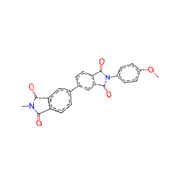 COc1ccc(N2C(=O)c3ccc(-c4ccc5c(c4)C(=O)N(C)C5=O)cc3C2=O)cc1